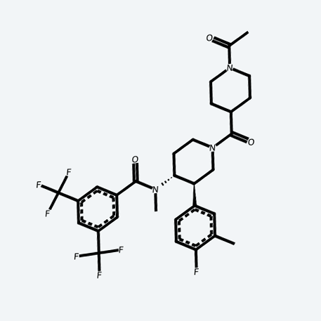 CC(=O)N1CCC(C(=O)N2CC[C@@H](N(C)C(=O)c3cc(C(F)(F)F)cc(C(F)(F)F)c3)[C@H](c3ccc(F)c(C)c3)C2)CC1